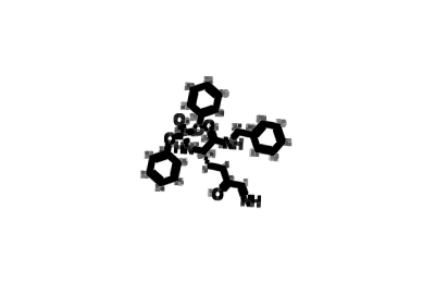 N=CC(=O)CC[C@H](NP(=O)(Oc1ccccc1)Oc1ccccc1)C(=O)NCc1ccccc1